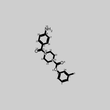 Cc1cccc(OC(=O)N2CCN(C(=O)c3ccc(N)cc3)CC2)c1